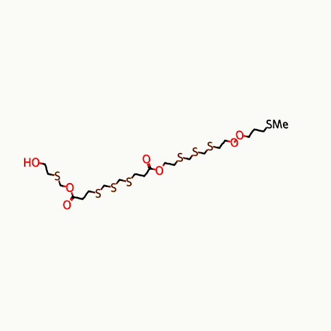 CSCCCOOCCSCSCSCCOC(=O)CCSCSCSCCC(=O)OCSCCO